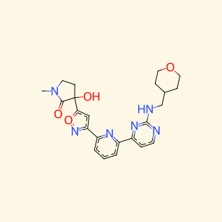 CN1CCC(O)(c2cc(-c3cccc(-c4ccnc(NCC5CCOCC5)n4)n3)no2)C1=O